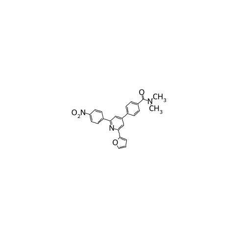 CN(C)C(=O)c1ccc(-c2cc(-c3ccc([N+](=O)[O-])cc3)nc(-c3ccco3)c2)cc1